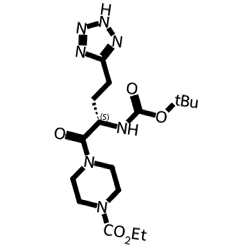 CCOC(=O)N1CCN(C(=O)[C@H](CCc2nn[nH]n2)NC(=O)OC(C)(C)C)CC1